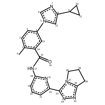 Cc1ccc(-n2cnc(C3CC3)c2)cc1C(=O)Nc1cccc(-c2nnc3n2CCC3)n1